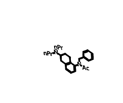 CCCN(CCC)C1CCc2c(cccc2N(Cc2ccccc2)C(C)=O)C1